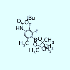 Cc1cc(NC(=O)OC(C)(C)C)c(F)c(F)c1B1OC(C)(C)C(C)(C)O1